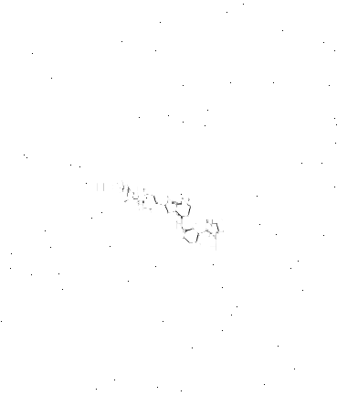 CC(C)(C)NC(=O)N1CC=C(c2cc3c(Nc4cccc(-c5ncc[nH]5)c4)ccnc3[nH]2)CC1